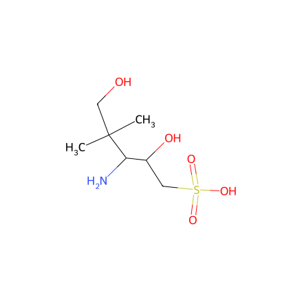 CC(C)(CO)C(N)C(O)CS(=O)(=O)O